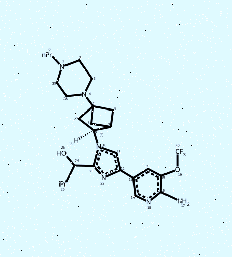 CCCN1CCN(C23CC(C2)[C@@H](n2cc(-c4cnc(N)c(OC(F)(F)F)c4)nc2C(O)C(C)C)C3)CC1